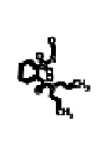 C=CCN(CC=C)S(=O)(=O)c1ccccc1S(=O)(=O)N=C=O